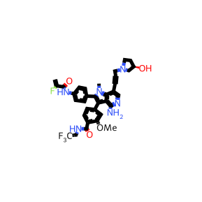 C=C(F)C(=O)Nc1ccc(-c2c(-c3ccc(C(=O)NCC(F)(F)F)c(OC)c3)c3c(N)ncc(C#CCN4CC[C@@H](O)C4)c3n2C)cc1